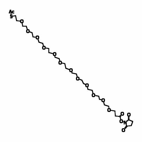 CC(=O)SCCOCCOCCOCCOCCOCCOCCOCCOCCOCCOCCOCCOCCC(=O)ON1C(=O)CCC1=O